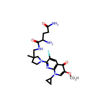 CC1(CNC(=O)C(N)CCC(N)=O)CCN(c2nc3c(cc2F)c(=O)c(OC(=O)O)cn3C2CC2)C1